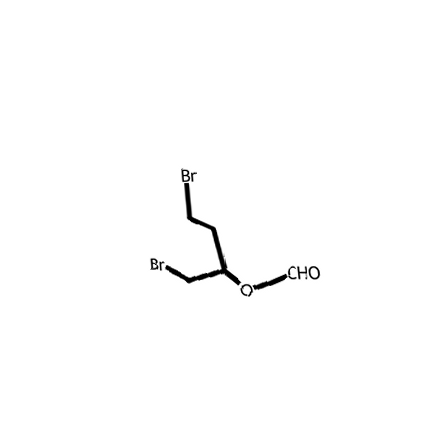 O=COC(CBr)CCBr